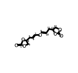 O=C1OCC(CC=COC=CCC2COC(=O)O2)O1